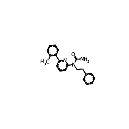 Cc1ccccc1-c1cccc(N(CCc2ccccc2)C(N)=O)n1